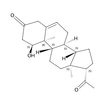 CC(=O)[C@H]1CC[C@H]2[C@@H]3CC=C4CC(=O)C[C@H](O)[C@]4(C)[C@H]3CC[C@]12C